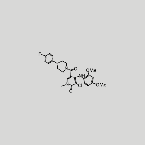 COc1ccc(Nc2c(C(=O)N3CCC(c4ccc(F)cc4)CC3)cn(C)c(=O)c2Cl)c(OC)c1